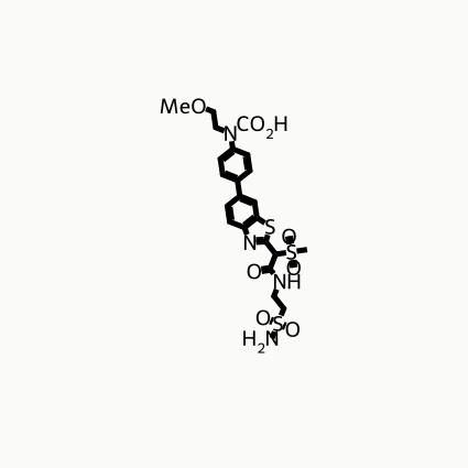 COCCN(C(=O)O)c1ccc(-c2ccc3nc(C(C(=O)NCCS(N)(=O)=O)S(C)(=O)=O)sc3c2)cc1